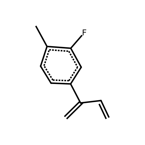 C=CC(=C)c1ccc(C)c(F)c1